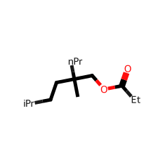 CCCC(C)(CCC(C)C)COC(=O)CC